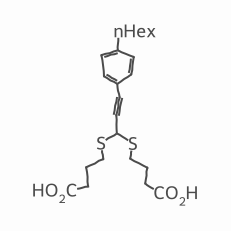 CCCCCCc1ccc(C#CC(SCCCC(=O)O)SCCCC(=O)O)cc1